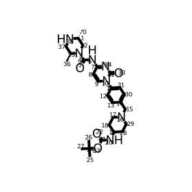 C[C@@H]1CN(C(=O)Nc2ccn(-c3ccc(CN4CCC(NC(=O)OC(C)(C)C)CC4)cc3)c(=O)n2)[C@@H](C)CN1